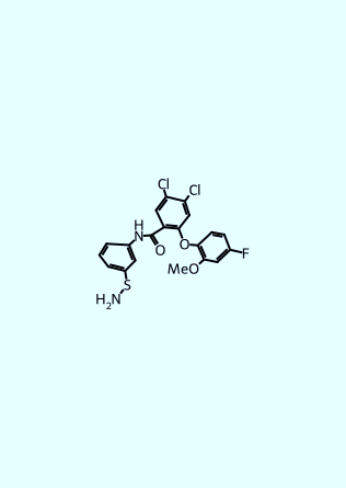 COc1cc(F)ccc1Oc1cc(Cl)c(Cl)cc1C(=O)Nc1cccc(SN)c1